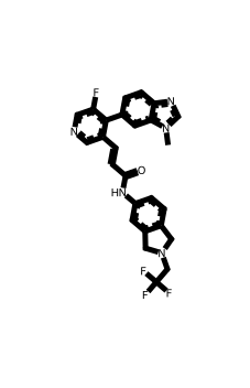 Cn1cnc2ccc(-c3c(F)cncc3C=CC(=O)Nc3ccc4c(c3)CN(CC(F)(F)F)C4)cc21